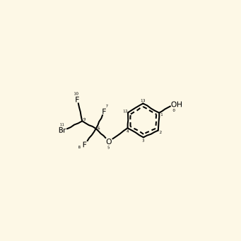 Oc1ccc(OC(F)(F)C(F)Br)cc1